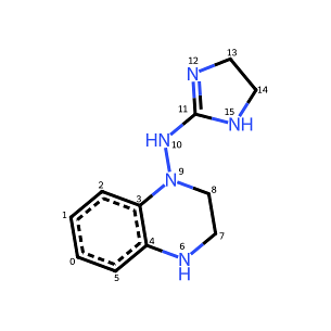 c1ccc2c(c1)NCCN2NC1=NCCN1